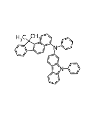 CC1(C)c2ccccc2-c2ccc3c(N(c4ccccc4)c4ccc5c6ccccc6n(-c6ccccc6)c5c4)cccc3c21